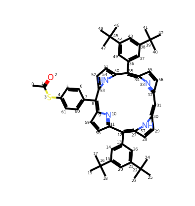 CC(=O)Sc1ccc(-c2c3nc(c(-c4cc(C(C)(C)C)cc(C(C)(C)C)c4)c4ccc(cc5nc(c(-c6cc(C(C)(C)C)cc(C(C)(C)C)c6)c6ccc2[nH]6)C=C5)[nH]4)C=C3)cc1